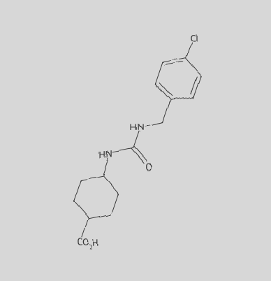 O=C(NCc1ccc(Cl)cc1)NC1CCC(C(=O)O)CC1